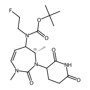 C[C@H]1C(N(CCF)C(=O)OC(C)(C)C)C=CN(C)C(=O)N1C1CCC(=O)NC1=O